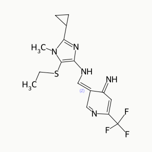 CCSc1c(N/C=C2/C=NC(C(F)(F)F)=CC2=N)nc(C2CC2)n1C